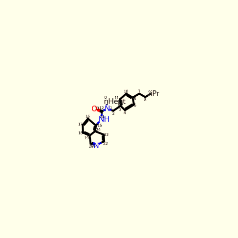 CCCCCCCN(Cc1ccc(CCC(C)C)cc1)C(=O)Nc1cccc2cnccc12